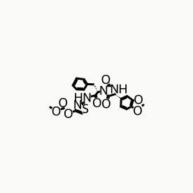 COC(=O)Oc1csc(NC(=O)[C@H](Cc2ccccc2)N2C(=O)N[C@H](c3ccc4c(c3)OCO4)C2=O)n1